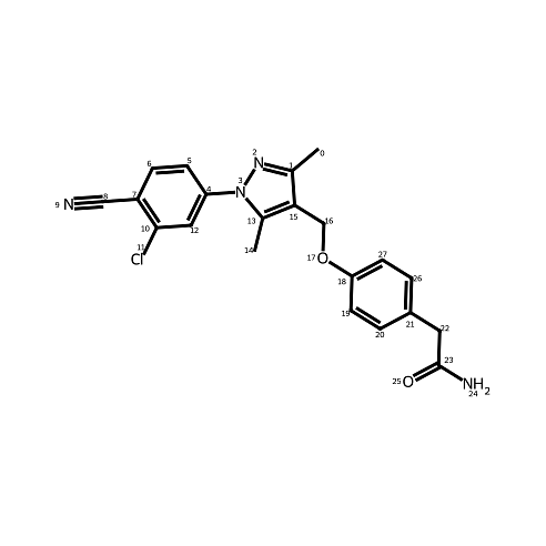 Cc1nn(-c2ccc(C#N)c(Cl)c2)c(C)c1COc1ccc(CC(N)=O)cc1